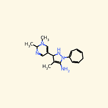 CC1=C(N)N(C2=CC=CCC=C2)NC1C1=CN(C)C(C)N=C1